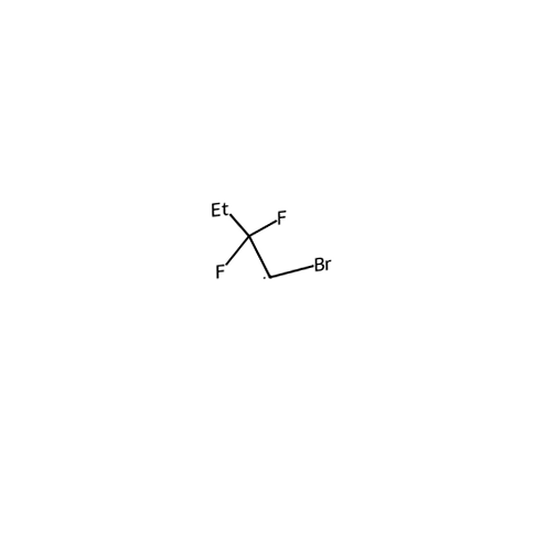 [CH2]CC(F)(F)[CH]Br